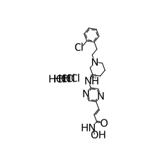 Cl.Cl.Cl.Cl.O=C(C=Cc1cnc(N[C@@H]2CCCN(CCc3ccccc3Cl)C2)cn1)NO